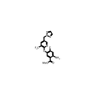 COC(=O)c1cc(Oc2ncc(Cn3nccn3)cc2C(F)(F)F)c(F)cc1N